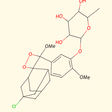 COc1ccc(C2(OC)OOC23C2CC4CC3CC(Cl)(C4)C2)cc1OC1OC(C)C(O)C(O)C1O